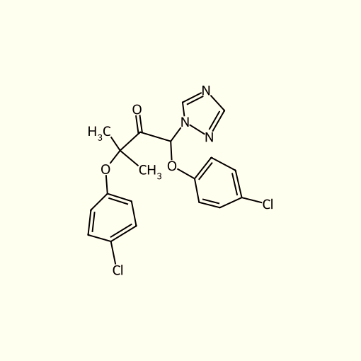 CC(C)(Oc1ccc(Cl)cc1)C(=O)C(Oc1ccc(Cl)cc1)n1cncn1